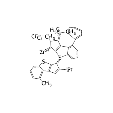 Cc1cccc2sc3c(c12)C=C(C(C)C)C3=S1C2=C(C(=[Si](C)C)C(C)[C]2=[Zr+2])c2c(-c3ccccc3)cccc21.[Cl-].[Cl-]